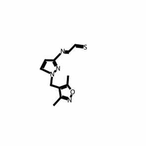 Cc1noc(C)c1Cn1ccc(N=CC=S)n1